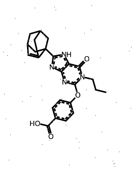 CCCn1c(Oc2ccc(C(=O)O)cc2)nc2nc(C34CC5C=C3CC(C5)C4)[nH]c2c1=O